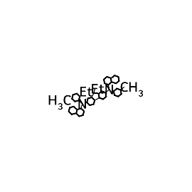 CCC1(CC)c2cc(N(c3cccc(C)c3)c3cccc4ccccc34)ccc2-c2ccc(N(c3cccc(C)c3)c3cccc4ccccc34)cc21